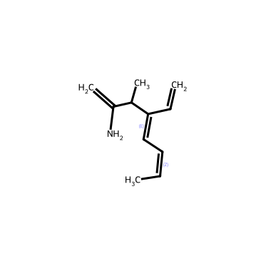 C=C/C(=C\C=C/C)C(C)C(=C)N